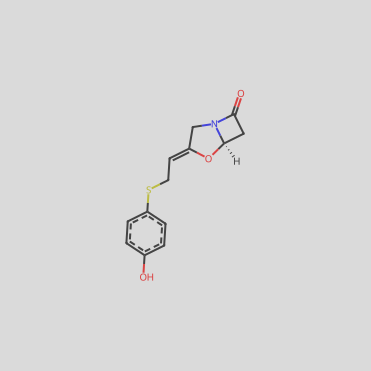 O=C1C[C@H]2O/C(=C\CSc3ccc(O)cc3)CN12